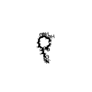 CC(/C=C/C(=O)N=[N+]=[N-])=C\[C@@H](C)[C@H]1C/C(C)=C/C=C/CC[C@@H](O)[C@H](O)/C=C/[C@H](O)CCC/C=C/C(=O)O1